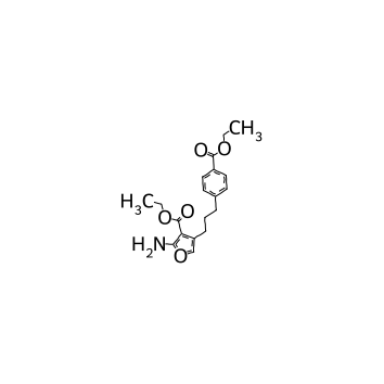 CCOC(=O)c1ccc(CCCc2coc(N)c2C(=O)OCC)cc1